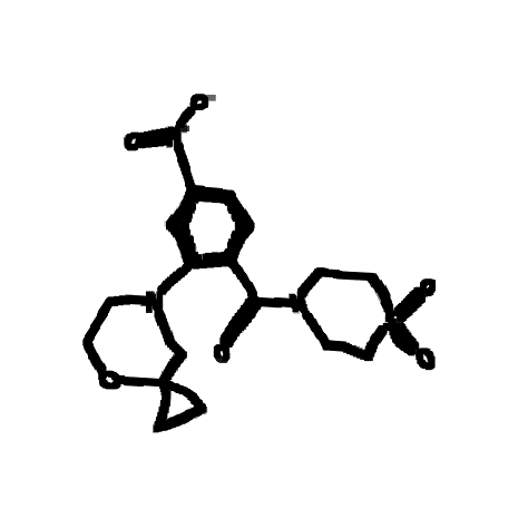 O=C(c1ccc([N+](=O)[O-])cc1N1CCOC2(CC2)C1)N1CCS(=O)(=O)CC1